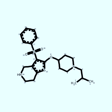 CC(C)CN1CCC(Oc2sc3c(c2S(=O)(=O)c2ccccc2)CNCC3)CC1